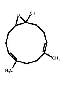 CC1=CCCC2OC2(C)CCC=C(C)CC1